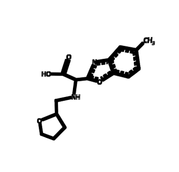 Cc1ccc2oc(C(NCC3CCCO3)C(=O)O)nc2c1